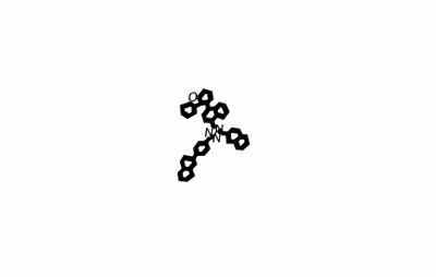 C1=CC2=CC(c3ccc(-c4nc(-c5ccc6ccccc6c5)nc(-c5ccc(-c6cccc7oc8ccccc8c67)c6ccccc56)n4)cc3)=CCC2C=C1